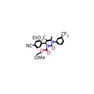 CCOC(=O)C1=C(C)N(c2cccc(C(F)(F)F)c2)C(=O)N(C(=O)OCCOC)C1c1ccc(C#N)cc1